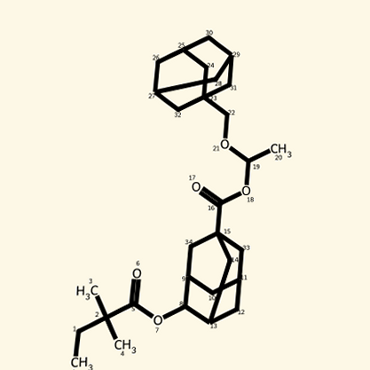 CCC(C)(C)C(=O)OC1C2CC3CC1CC(C(=O)OC(C)OCC14CC5CC(CC(C5)C1)C4)(C3)C2